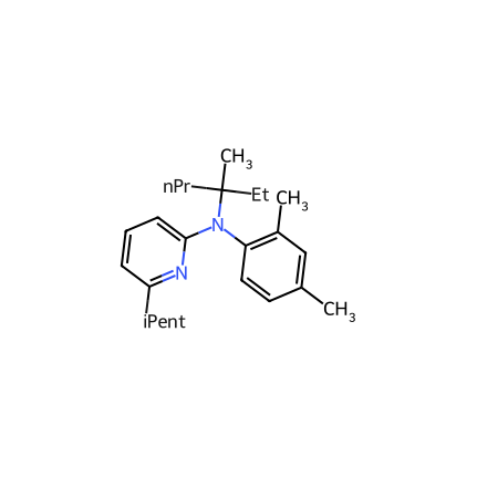 CCCC(C)c1cccc(N(c2ccc(C)cc2C)C(C)(CC)CCC)n1